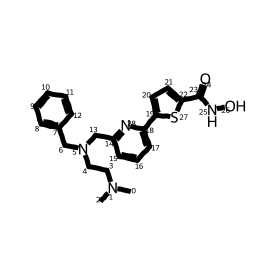 CN(C)CCN(Cc1ccccc1)Cc1cccc(-c2ccc(C(=O)NO)s2)n1